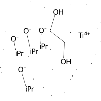 CC(C)[O-].CC(C)[O-].CC(C)[O-].CC(C)[O-].OCCO.[Ti+4]